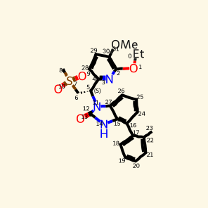 CCOc1nc([C@@H](CS(C)(=O)=O)n2c(=O)[nH]c3c(-c4ccccc4C)cccc32)ccc1OC